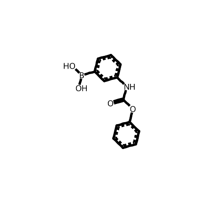 O=C(Nc1cccc(B(O)O)c1)Oc1ccccc1